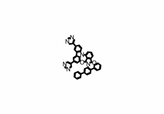 O=C1c2cccc(-n3c4ccc(-c5cncnc5)cc4c4cc(-c5cncnc5)ccc43)c2C(=O)N1c1cc(-c2ccccc2)ccc1-c1ccccc1